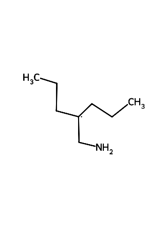 CCC[C](CN)CCC